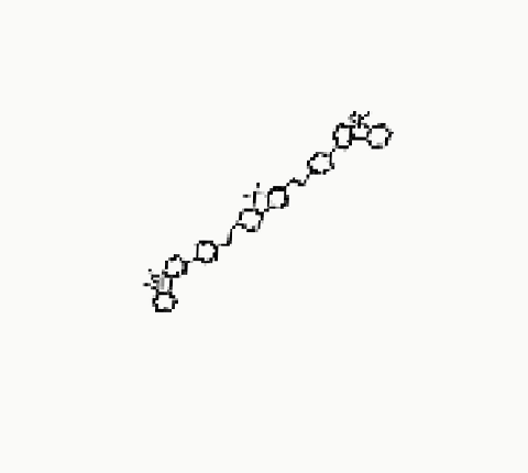 CC1(C)c2cc(/C=C/c3ccc(-c4ccc5c(c4)-c4ccccc4[Si]5(C)C)cc3)ccc2-c2ccc(/C=C/c3ccc(-c4ccc5c(c4)-c4ccccc4[Si]5(C)C)cc3)cc21